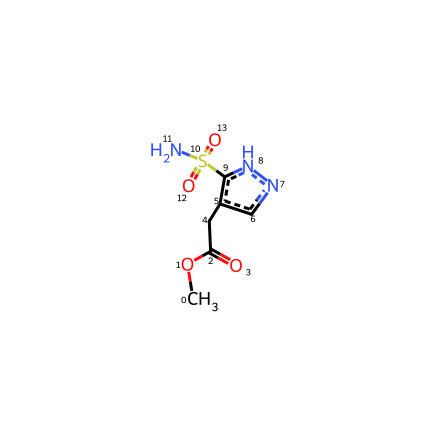 COC(=O)Cc1cn[nH]c1S(N)(=O)=O